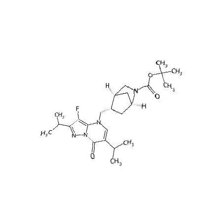 CC(C)c1nn2c(=O)c(C(C)C)cn(C[C@H]3C[C@H]4C[C@@H]3CN4C(=O)OC(C)(C)C)c2c1F